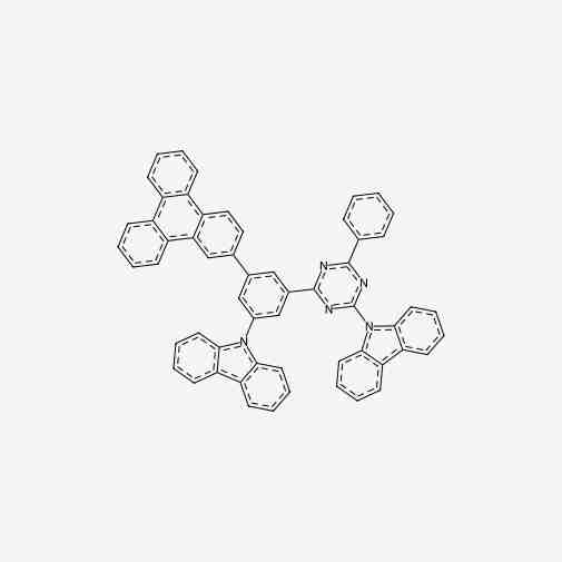 c1ccc(-c2nc(-c3cc(-c4ccc5c6ccccc6c6ccccc6c5c4)cc(-n4c5ccccc5c5ccccc54)c3)nc(-n3c4ccccc4c4ccccc43)n2)cc1